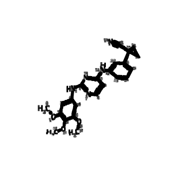 COc1cc(Nc2nccc(Nc3cccc(C4(C#N)CC4)c3)n2)cc(OC)c1OC